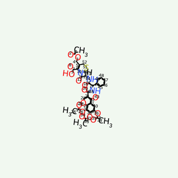 CC(=O)OCC1=C(C(=O)O)N2C(=O)[C@@H](NC(=O)C(NC(=O)c3coc4c(OC(C)=O)c(OC(C)=O)c(OC(C)=O)cc4c3=O)c3ccccc3)[C@@H]2SC1